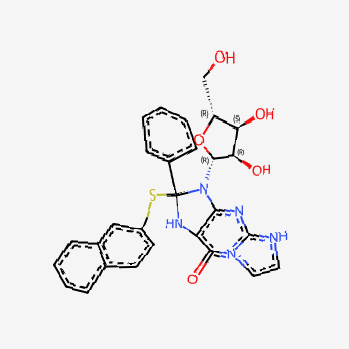 O=c1c2c(nc3[nH]ccn13)N([C@@H]1O[C@H](CO)[C@@H](O)[C@H]1O)C(Sc1ccc3ccccc3c1)(c1ccccc1)N2